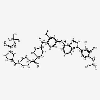 CCc1cc(Nc2nccn3c(-c4ccc(OC(F)F)c(F)c4F)cnc23)ccc1C(=O)N1CCC(C(=O)N2CCN(CC3CCN(C(=O)OC(C)(C)C)C3)CC2)CC1